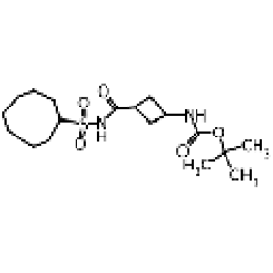 CC(C)(C)OC(=O)NC1CC(C(=O)NS(=O)(=O)C2CCCCCCC2)C1